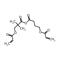 C=CC(=O)OCCCC(=O)OC(=O)C(C)(C)COC(=O)C=C